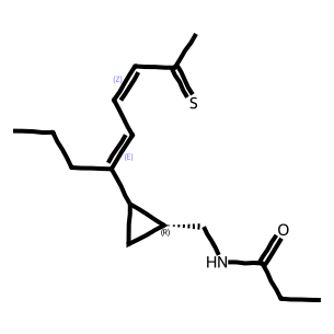 CCC/C(=C\C=C/C(C)=S)C1C[C@H]1CNC(=O)CC